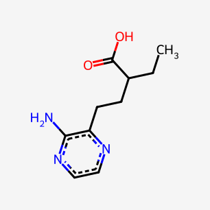 CCC(CCc1nccnc1N)C(=O)O